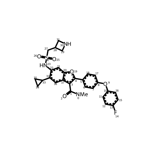 CNC(=O)c1c(-c2ccc(Oc3ccc(F)cc3)cc2)oc2cc(NS(=O)(=O)CC3CNC3)c(C3CC3)cc12